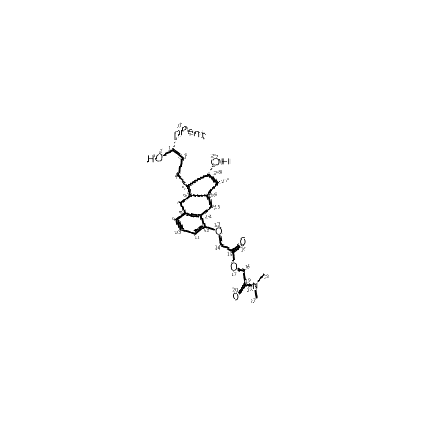 CCCCC[C@@H](O)CC[C@@H]1C2Cc3cccc(OCC(=O)OCC(=O)N(C)C)c3CC2C[C@H]1O